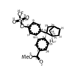 COC(=O)c1ccc([C@]2(c3ccc(OS(=O)(=O)C(F)(F)F)cc3)CC3CC[C@@H]2C3)cc1